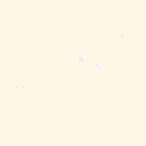 CCOc1ccccc1N1CCN(CC(=O)c2cccc3c(=O)c(C)c(-c4ccccc4)oc23)CC1